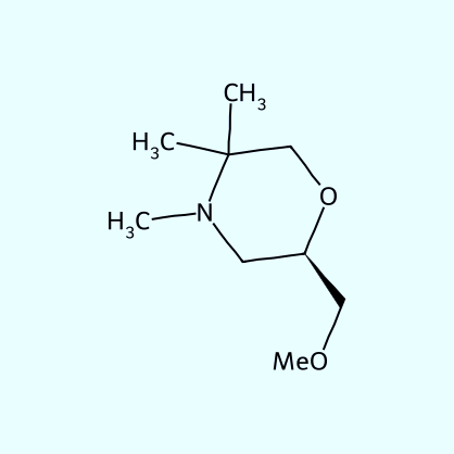 COC[C@H]1CN(C)C(C)(C)CO1